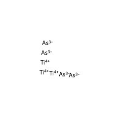 [As-3].[As-3].[As-3].[As-3].[Ti+4].[Ti+4].[Ti+4]